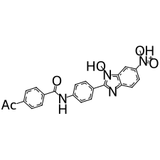 CC(=O)c1ccc(C(=O)Nc2ccc(-c3nc4ccc([N+](=O)O)cc4n3O)cc2)cc1